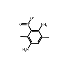 Cc1cc(N)c(C)c([N+](=O)[O-])c1N